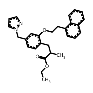 CCOC(=O)C(C)Cc1ccc(Cn2cccn2)cc1OCCc1cccc2ccccc12